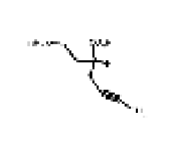 CC#CCC(F)(CCCCCCCC)C(=O)O